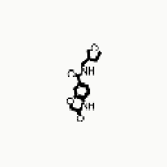 O=C1COc2cc(C(=O)NCC3=COCC3)ccc2N1